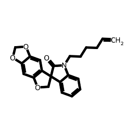 C=CCCCCN1C(=O)C2(COc3cc4c(cc32)OCO4)c2ccccc21